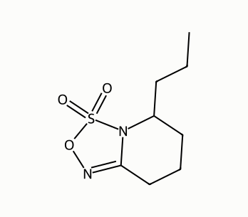 CCCC1CCCC2=NOS(=O)(=O)N21